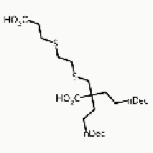 CCCCCCCCCCCCC(CCCCCCCCCCCC)(CSCCSCCC(=O)O)C(=O)O